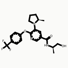 C[C@H](CO)NC(=O)c1cnc(Oc2ccc(C(F)(F)F)cc2)c(N2CCC[C@H]2C)c1